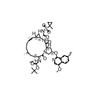 CC[C@@H]1C[C@H](C)CC/C=C\[C@@H]2C[C@@]2(C(=O)NS(=O)(=O)C2(C)CC2)NC(=O)[C@@H]2C[C@@H](Oc3ncc(OC)c4ccc(F)cc34)CN2C(=O)[C@H]1NC(=O)OC(C)(C)C